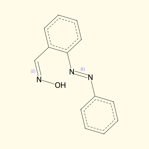 O/N=C\c1ccccc1/N=N/c1ccccc1